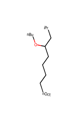 CCCCCCCCCCCCC(CC(C)C)OCCCC